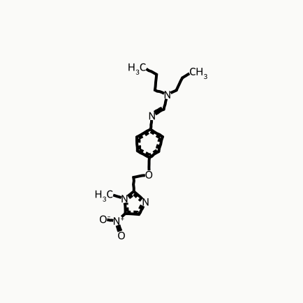 CCCN(C=Nc1ccc(OCc2ncc([N+](=O)[O-])n2C)cc1)CCC